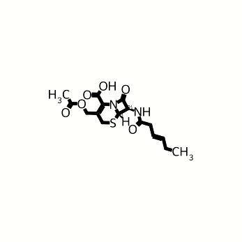 CCC=CCC(=O)N[C@@H]1C(=O)N2C(C(=O)O)=C(COC(C)=O)CS[C@H]12